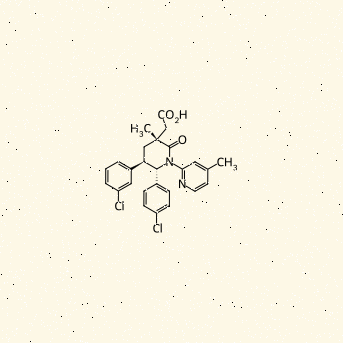 Cc1ccnc(N2C(=O)[C@@](C)(CC(=O)O)C[C@H](c3cccc(Cl)c3)[C@H]2c2ccc(Cl)cc2)c1